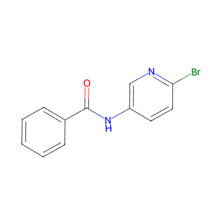 O=C(Nc1ccc(Br)nc1)c1ccccc1